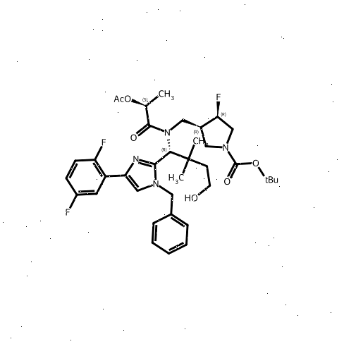 CC(=O)O[C@@H](C)C(=O)N(C[C@@H]1CN(C(=O)OC(C)(C)C)C[C@@H]1F)[C@@H](c1nc(-c2cc(F)ccc2F)cn1Cc1ccccc1)C(C)(C)CCO